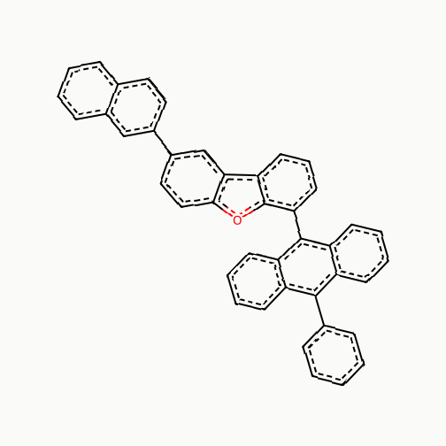 c1ccc(-c2c3ccccc3c(-c3cccc4c3oc3ccc(-c5ccc6ccccc6c5)cc34)c3ccccc23)cc1